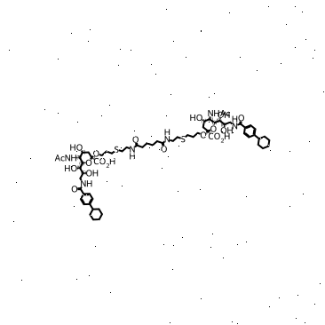 CC(=O)N[C@H]1[C@H]([C@H](O)[C@H](O)CNC(=O)c2ccc(C3CCCCC3)cc2)O[C@@](OCCCSCCNC(=O)CCCCC(=O)NCCSCCCO[C@]2(C(=O)O)C[C@H](O)[C@@H](NC(C)=O)[C@H]([C@H](O)[C@@H](O)CNC(=O)c3ccc(C4CCCCC4)cc3)O2)(C(=O)O)C[C@@H]1O